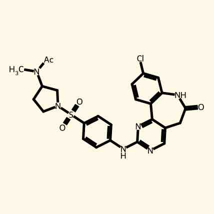 CC(=O)N(C)C1CCN(S(=O)(=O)c2ccc(Nc3ncc4c(n3)-c3ccc(Cl)cc3NC(=O)C4)cc2)C1